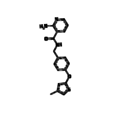 Cc1csc(Oc2ccc(CNC(=O)c3cccnc3N)cc2)c1